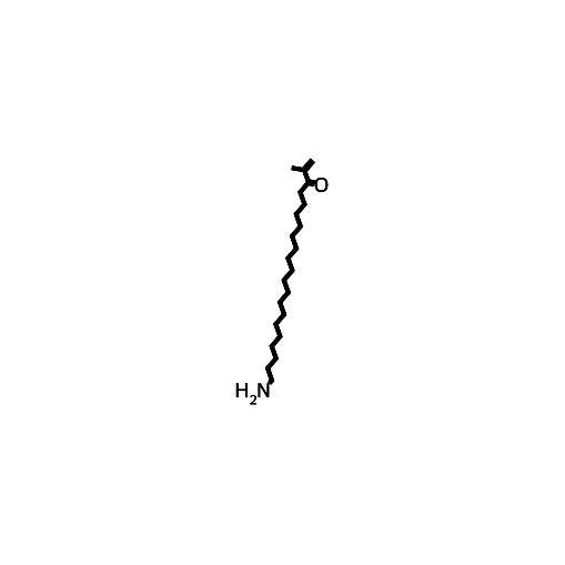 C=C(C)C(=O)CCCCCCCCCCCCCCCCCCN